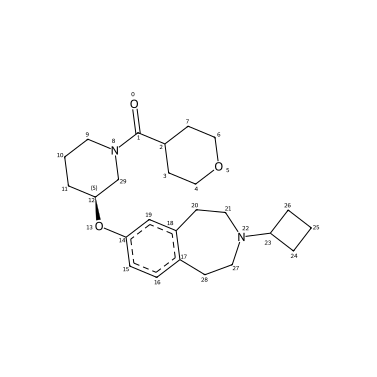 O=C(C1CCOCC1)N1CCC[C@H](Oc2ccc3c(c2)CCN(C2CCC2)CC3)C1